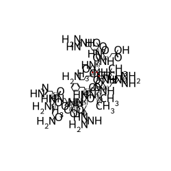 CC[C@H](C)[C@H](NC(=O)[C@H](Cc1ccccc1)NC(=O)[C@H](CCCNC(=N)N)NC(=O)[C@@H](NC(=O)CNC(=O)[C@H](Cc1c[nH]cn1)NC(=O)[C@@H](N)CCC(N)=O)[C@@H](C)O)C(=O)N[C@@H](CCCNC(=N)N)C(=O)N[C@@H](CC(C)C)C(=O)N[C@@H](CCCCN)C(=O)N[C@@H](CC(C)C)C(=O)N[C@@H](CCC(=O)O)C(=O)N[C@@H](CCCNC(=N)N)C(=O)O